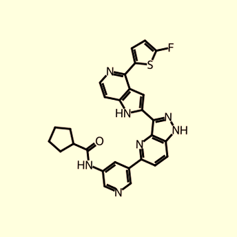 O=C(Nc1cncc(-c2ccc3[nH]nc(-c4cc5c(-c6ccc(F)s6)nccc5[nH]4)c3n2)c1)C1CCCC1